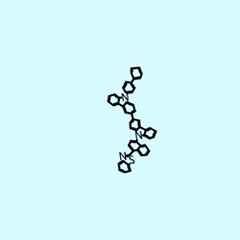 c1ccc(-c2ccc(-n3c4ccccc4c4cc(-c5ccc6c(c5)c5ccccc5n6-c5ccc(-c6nc7ccccc7s6)c6ccccc56)ccc43)cc2)cc1